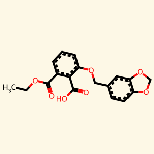 CCOC(=O)c1cccc(OCc2ccc3c(c2)OCO3)c1C(=O)O